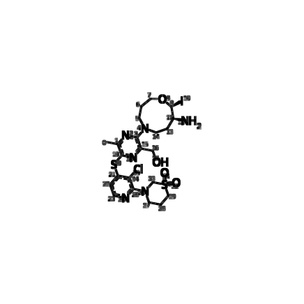 Cc1nc(N2CCCO[C@@H](I)[C@@H](N)CC2)c(CO)nc1Sc1ccnc(N2CCCS(=O)(=O)C2)c1Cl